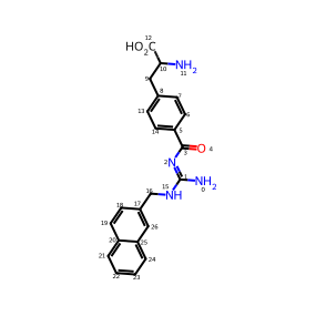 NC(=NC(=O)c1ccc(CC(N)C(=O)O)cc1)NCc1ccc2ccccc2c1